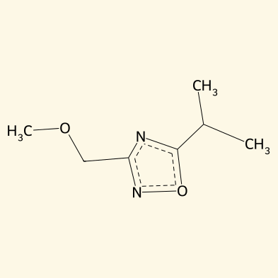 COCc1noc(C(C)C)n1